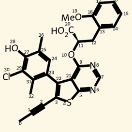 CC#Cc1sc2ncnc(O[C@H](Cc3ccccc3OC)C(=O)O)c2c1-c1cc(C)c(O)c(Cl)c1C